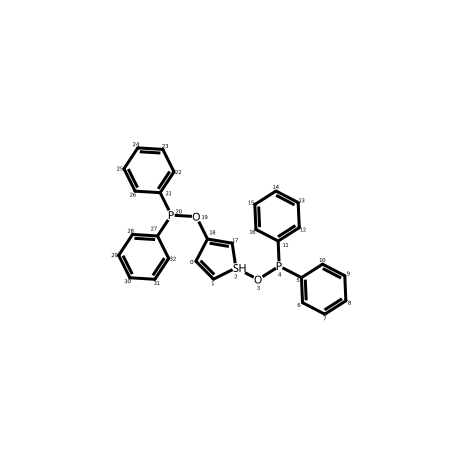 C1=C[SH](OP(c2ccccc2)c2ccccc2)C=C1OP(c1ccccc1)c1ccccc1